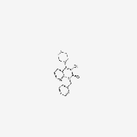 N#Cc1c(N2CCNCC2)c2cccnc2n(Cc2ccccc2)c1=O